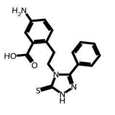 Nc1ccc(CCn2c(-c3ccccc3)n[nH]c2=S)c(C(=O)O)c1